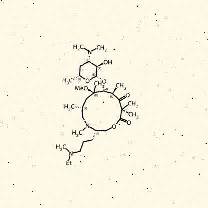 CCN(C)CCC[C@H]1COC(=O)C(C)(C)C(=O)[C@H](C)[C@@H](O[C@@H]2O[C@H](C)C[C@H](N(C)C)[C@H]2O)[C@](C)(OC)C[C@@H](C)CN1C